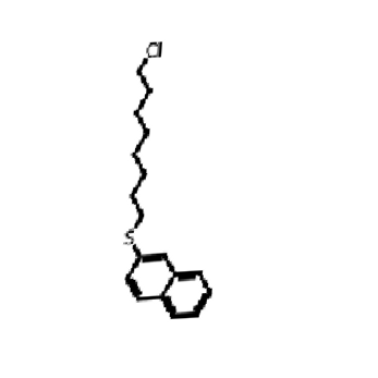 ClCCCCCCCCSc1ccc2ccccc2c1